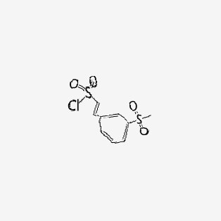 CS(=O)(=O)c1cccc(/C=C/S(=O)(=O)Cl)c1